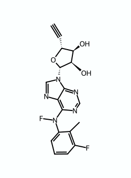 C#C[C@H]1O[C@@H](n2cnc3c(N(F)c4cccc(F)c4C)ncnc32)[C@H](O)[C@@H]1O